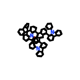 c1ccc(-n2c3ccccc3c3cccc(-c4cccc5c(-c6cccc7c6-n6c8ccccc8c8cccc(c86)C76c7ccccc7-c7ccccc76)c6cccc(-c7cccc8c9ccccc9n(-c9ccccc9)c78)c6cc45)c32)cc1